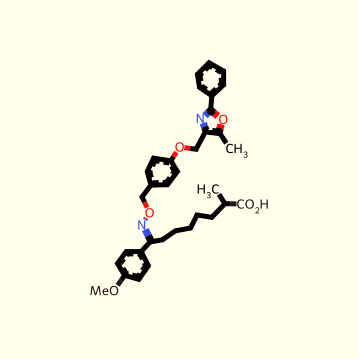 COc1ccc(C(CCCCCC(C)C(=O)O)=NOCc2ccc(OCc3nc(-c4ccccc4)oc3C)cc2)cc1